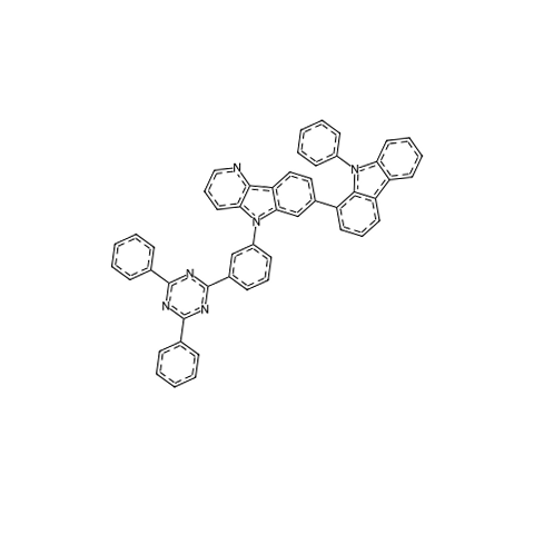 c1ccc(-c2nc(-c3ccccc3)nc(-c3cccc(-n4c5cc(-c6cccc7c8ccccc8n(-c8ccccc8)c67)ccc5c5ncccc54)c3)n2)cc1